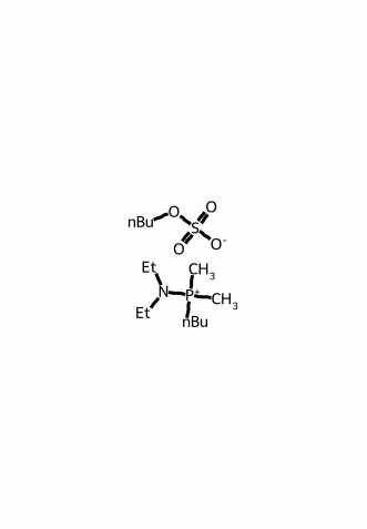 CCCCOS(=O)(=O)[O-].CCCC[P+](C)(C)N(CC)CC